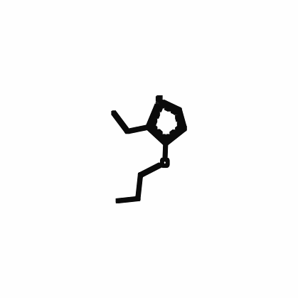 CCCOc1ccsc1CC